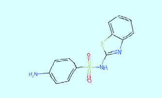 Nc1ccc(S(=O)(=O)Nc2nc3ccccc3s2)cc1